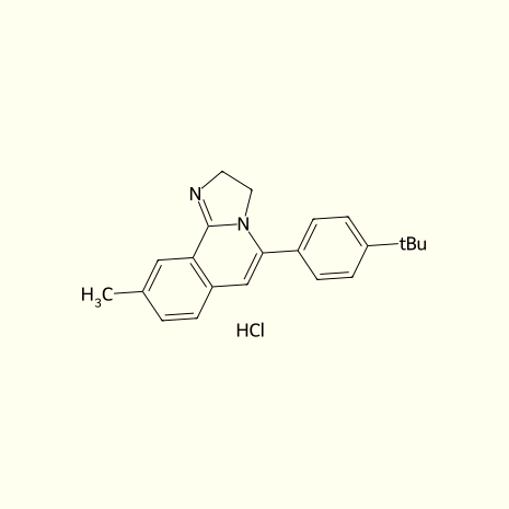 Cc1ccc2c(c1)C1=NCCN1C(c1ccc(C(C)(C)C)cc1)=C2.Cl